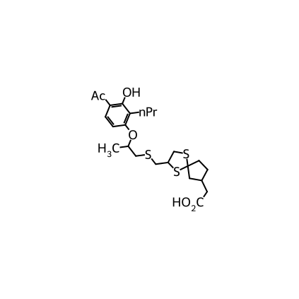 CCCc1c(OC(C)CSCC2CSC3(CCC(CC(=O)O)C3)S2)ccc(C(C)=O)c1O